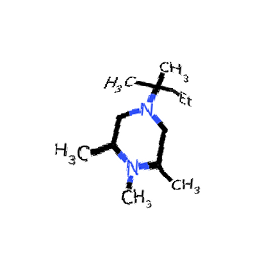 CCC(C)(C)N1CC(C)N(C)C(C)C1